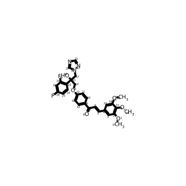 COc1cc(/C=C/C(=O)c2ccc(OCC(O)(Cn3cncn3)c3ccc(F)cc3F)cc2)cc(OC)c1OC